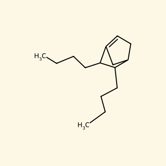 CCCCC1C2=CCC(C2)C1CCCC